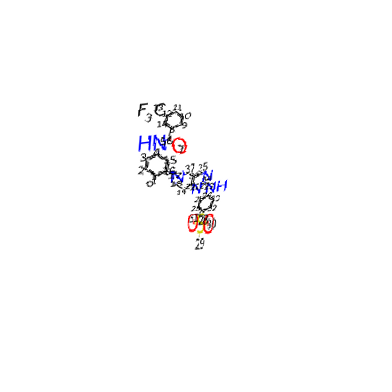 Cc1ccc(NC(=O)c2cccc(C(F)(F)F)c2)cc1N1CCc2nc(Nc3ccc(S(C)(=O)=O)cc3)ncc2C1